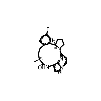 C[C@H]1CCc2ccc(F)cc2[C@H]2CCCN2c2ccn3ncc(c3n2)NC1=O